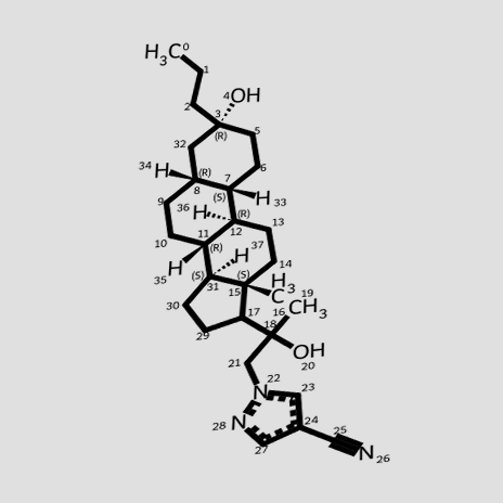 CCC[C@@]1(O)CC[C@H]2[C@H](CC[C@@H]3[C@@H]2CC[C@]2(C)C(C(C)(O)Cn4cc(C#N)cn4)CC[C@@H]32)C1